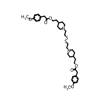 COc1ccc(CC(=O)OCCC2CCN(CCSSCCN3CCC(CCOC(=O)Cc4ccc(OC)cc4)CC3)CC2)cc1